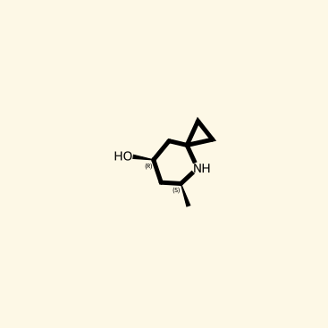 C[C@H]1C[C@@H](O)CC2(CC2)N1